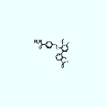 CCc1ccc(-c2cccc3c2COC3=O)c(OCc2ccc(C(N)=O)cc2)c1OC